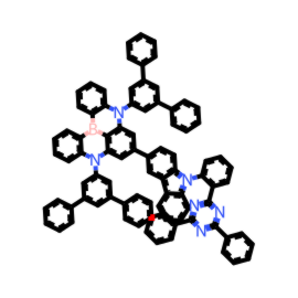 c1ccc(-c2cc(-c3ccccc3)cc(N3c4ccccc4B4c5ccccc5N(c5cc(-c6ccccc6)cc(-c6ccccc6)c5)c5cc(-c6ccc7c(c6)c6ccccc6n7-c6ccccc6-c6nc(-c7ccccc7)nc(-c7ccccc7)n6)cc3c54)c2)cc1